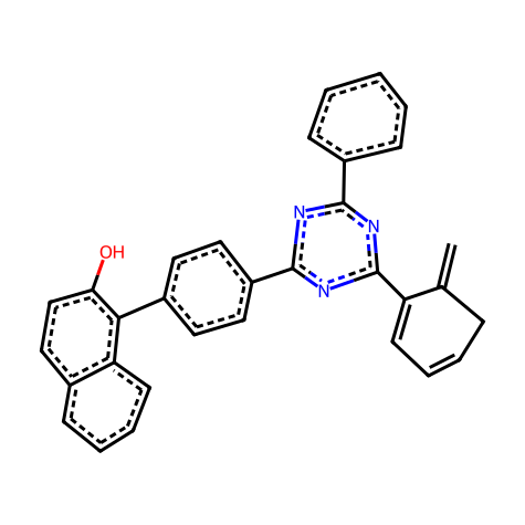 C=C1CC=CC=C1c1nc(-c2ccccc2)nc(-c2ccc(-c3c(O)ccc4ccccc34)cc2)n1